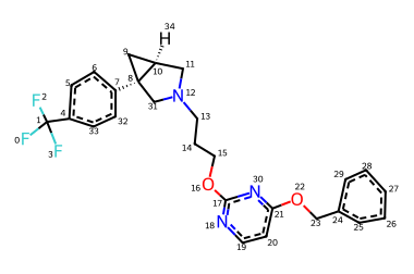 FC(F)(F)c1ccc([C@]23C[C@H]2CN(CCCOc2nccc(OCc4ccccc4)n2)C3)cc1